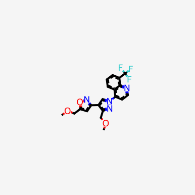 COCc1cc(-c2cn(-c3ccnc4c(C(F)(F)F)cccc34)nc2COC)no1